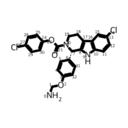 NCOc1ccc([C@H]2c3[nH]c4ccc(Cl)cc4c3CCN2C(=O)Oc2ccc(Cl)cc2)cc1